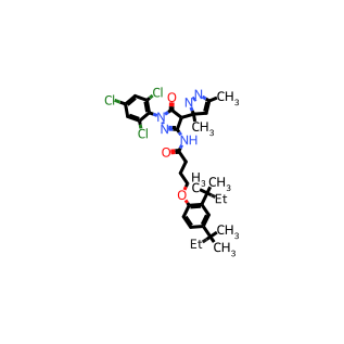 CCC(C)(C)c1ccc(OCCCC(=O)NC2=NN(c3c(Cl)cc(Cl)cc3Cl)C(=O)C2C2(C)C=C(C)N=N2)c(C(C)(C)CC)c1